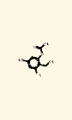 CCc1c(C)cc(C)cc1OC(C)=O